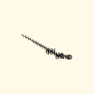 CCC=CCC=CCC=CCC=CCC=CCC=CCCC(=O)NCCNCCNC(=O)c1ccc(CCN2CCOCC2)nc1